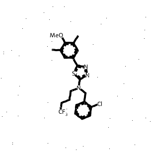 COc1c(C)cc(-c2nnc(N(CCCC(F)(F)F)Cc3ccccc3Cl)s2)cc1C